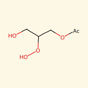 CC(=O)OCC(CO)OO